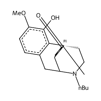 CCCCN1CC[C@@]23CC(=O)CCC2C1Cc1ccc(OC)c(O)c13